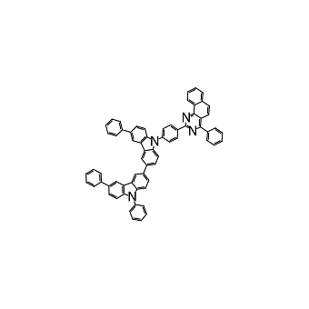 c1ccc(-c2ccc3c(c2)c2cc(-c4ccc5c(c4)c4cc(-c6ccccc6)ccc4n5-c4ccc(-c5nc(-c6ccccc6)c6ccc7ccccc7c6n5)cc4)ccc2n3-c2ccccc2)cc1